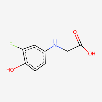 O=C(O)CNc1ccc(O)c(F)c1